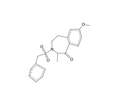 COc1ccc2c(c1)CCN(S(=O)(=O)Cc1ccccc1)C(C)C2=O